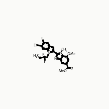 C=CC(F)(F)Cn1c(-c2nc3cc(C(=O)OC)cc(OC)c3n2C)cc2cc(F)c(CC)cc21